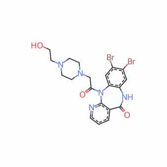 O=C1Nc2cc(Br)c(Br)cc2N(C(=O)CN2CCN(CCO)CC2)c2ncccc21